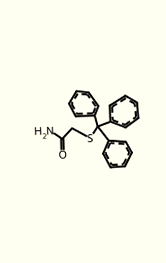 NC(=O)CSC(c1ccccc1)(c1ccccc1)c1ccccc1